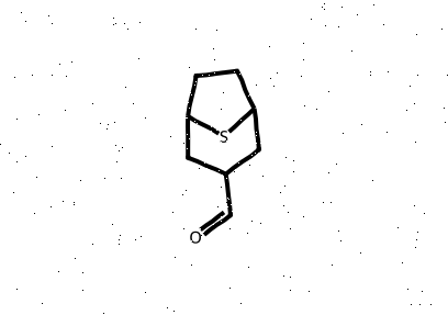 O=CC1CC2CCC(C1)S2